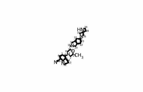 C[C@@H]1CN(c2ccc(C#N)c3ncccc23)C[C@H](CN2Cc3ccc(N4CC5(CCN5)C4)cc3C2)O1